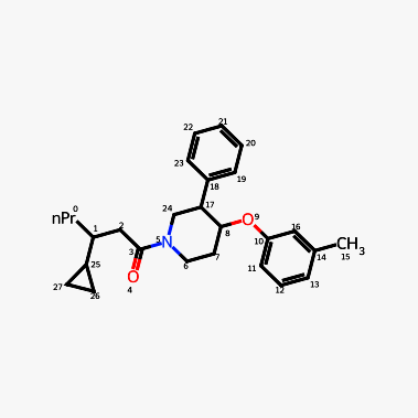 CCCC(CC(=O)N1CCC(Oc2cccc(C)c2)C(c2ccccc2)C1)C1CC1